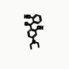 CCN(CC)c1ccc(C(=O)c2ccccc2O)c(O)c1